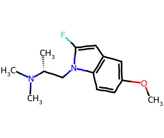 COc1ccc2c(c1)cc(F)n2C[C@@H](C)N(C)C